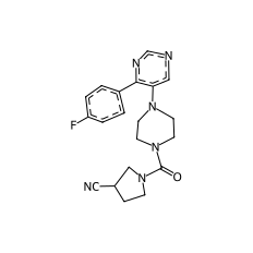 N#CC1CCN(C(=O)N2CCN(c3cncnc3-c3ccc(F)cc3)CC2)C1